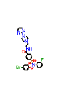 O=C(NCCN1CCN(c2ncccn2)CC1)c1ccc(S(=O)(=O)N(Oc2ccc(Br)cc2)c2cccc(F)c2)cc1